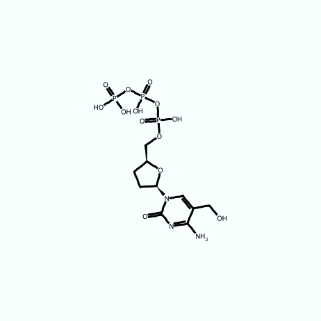 Nc1nc(=O)n([C@H]2CC[C@@H](COP(=O)(O)OP(=O)(O)OP(=O)(O)O)O2)cc1CO